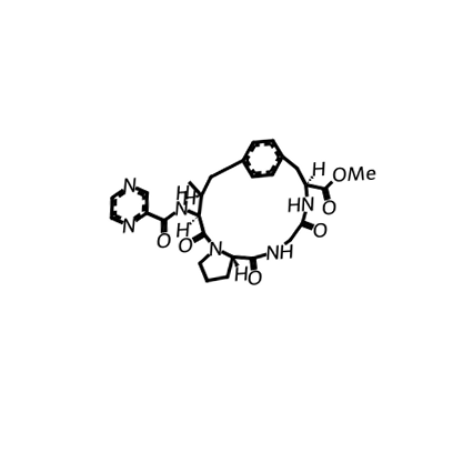 COC(=O)[C@@H]1Cc2ccc(cc2)C[C@H](C)[C@H](NC(=O)c2cnccn2)C(=O)N2CCC[C@H]2C(=O)NCC(=O)N1